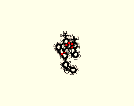 CC(C)(C)c1ccc(-c2ccccc2N(c2cccc(-c3ccc4oc5ccccc5c4c3)c2)c2ccccc2-c2cccc3cccc(-c4cc(C(C)(C)C)cc(C(C)(C)C)c4)c23)cc1